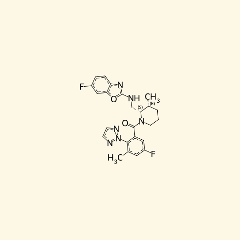 Cc1cc(F)cc(C(=O)N2CCC[C@@H](C)[C@H]2CNc2nc3ccc(F)cc3o2)c1-n1nccn1